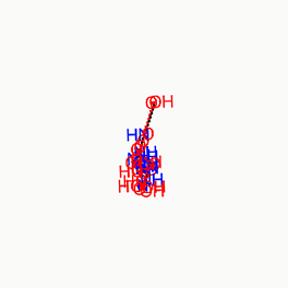 CCCC[C@H](NC(=O)[C@H](CCCCNC(O)CN(CC(=O)O)CC(O)O)NC(=O)[C@H](CO)NC(=O)[C@H](CCC(N)=O)NC(=O)[C@H](CO)NC(=O)CNC(=O)COCCOCCNC(=O)CCCCCCCCCCCCCCC(=O)O)C(=O)NC